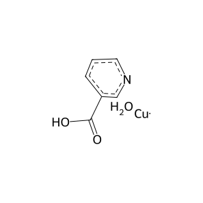 O.O=C(O)c1cccnc1.[Cu]